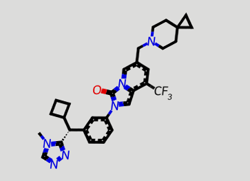 Cn1cnnc1[C@@H](c1cccc(-n2cc3c(C(F)(F)F)cc(CN4CCC5(CC4)CC5)cn3c2=O)c1)C1CCC1